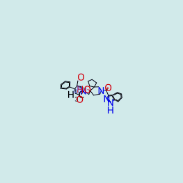 CN(/C=C(C=O)\C(=C/C=O)c1ccccc1)CC1(O)CCN(C(=O)c2n[nH]c3ccccc23)CC12CCCC2